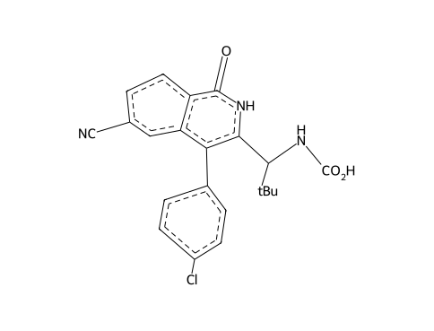 CC(C)(C)C(NC(=O)O)c1[nH]c(=O)c2ccc(C#N)cc2c1-c1ccc(Cl)cc1